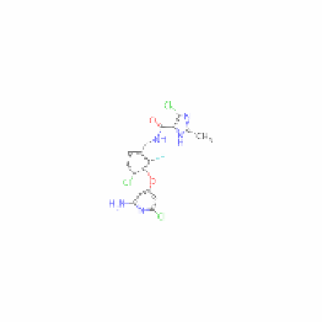 Cc1nc(Cl)c(C(=O)NCc2ccc(Cl)c(Oc3cc(N)nc(Cl)c3)c2F)[nH]1